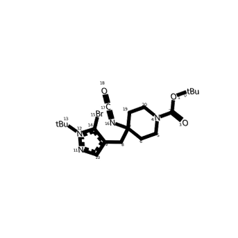 CC(C)(C)OC(=O)N1CCC(Cc2cnn(C(C)(C)C)c2Br)(N=C=O)CC1